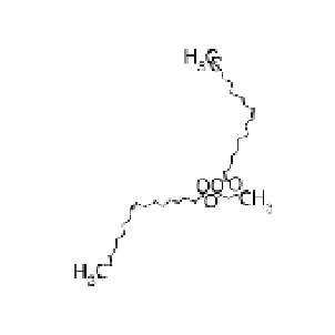 CCCCCCCC/C=C\CCCCCCCC(=O)OC(CCC)OC(=O)CCCCCCC/C=C\CCCCCCCC